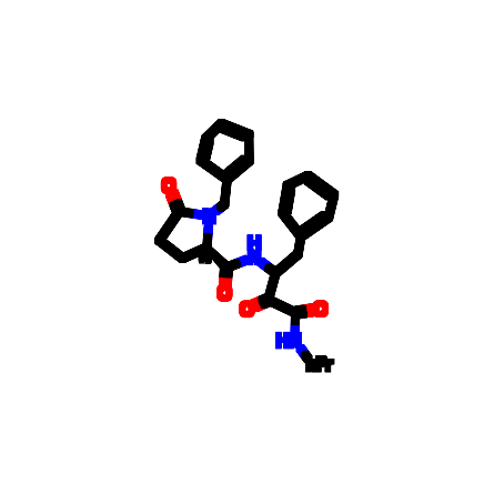 CCCNC(=O)C(=O)C(Cc1ccccc1)NC(=O)[C@H]1CCC(=O)N1Cc1ccccc1